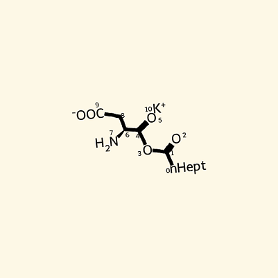 CCCCCCCC(=O)OC(=O)[C@@H](N)CC(=O)[O-].[K+]